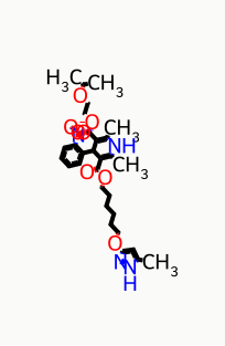 CC1=C(C(=O)OCCCCCCOc2cc(C)[nH]n2)C(c2ccccc2[N+](=O)[O-])C(C(=O)OCCOC(C)C)=C(C)N1